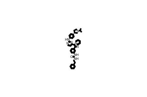 CC(C)N1CC[C@@H](c2ccc(Nc3nccc(-c4c(-c5cccc(NC(=O)NCCc6ccccc6)c5)nc5ccccn45)n3)cc2)C1